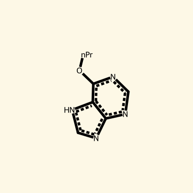 CCCOc1ncnc2nc[nH]c12